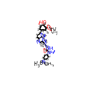 COc1cc(-c2ccc3ncc(NC(=O)Nc4ccc(N(C)C)cc4)nc3n2)ccc1O